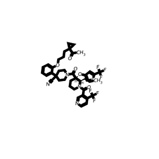 CCC[C@H]1N(C(=O)c2cnccc2C(F)(F)F)CCC[C@@]1(Oc1csc(C(F)(F)F)c1)C(=O)N1CCC(C#N)(c2ccccc2OCCCC2(C(C)=O)CC2)CC1